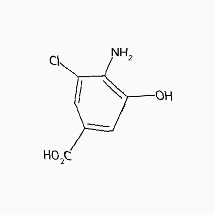 Nc1c(O)cc(C(=O)O)cc1Cl